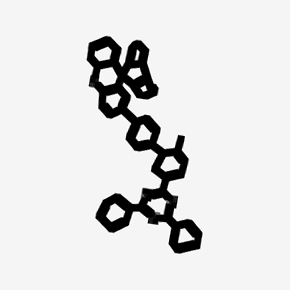 CC1=CC=C(c2nc(-c3ccccc3)nc(-c3ccccc3)n2)CC1c1ccc(-c2ccc3c(c2)C2(C4=CC=CCC4S3)C3=C(C=CCC3)c3ccccc32)cc1